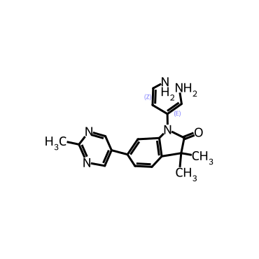 Cc1ncc(-c2ccc3c(c2)N(C(/C=C\N)=C/N)C(=O)C3(C)C)cn1